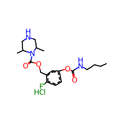 CCCCNC(=O)Oc1ccc(F)c(COC(=O)N2C(C)CNCC2C)c1.Cl